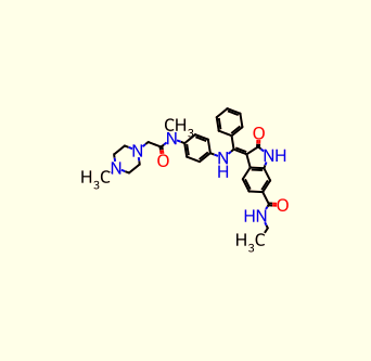 CCNC(=O)c1ccc2c(c1)NC(=O)C2=C(Nc1ccc(N(C)C(=O)CN2CCN(C)CC2)cc1)c1ccccc1